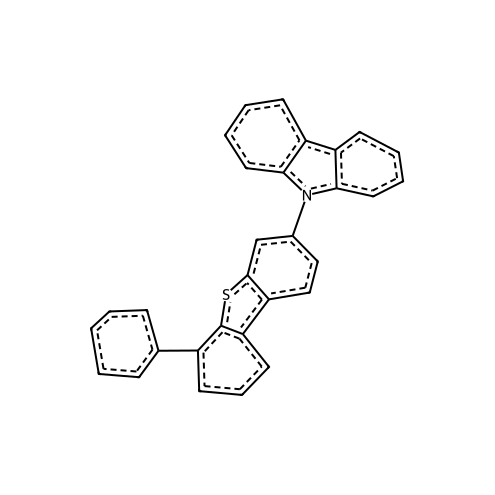 c1ccc(-c2cccc3c2sc2cc(-n4c5ccccc5c5ccccc54)ccc23)cc1